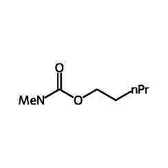 [CH2]CCCCOC(=O)NC